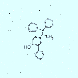 CC(c1ccc(O)c(-c2ccccc2)c1)P(c1ccccc1)c1ccccc1